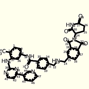 Cc1ccc(NC(=O)c2ccc(CNCc3ccc4c(c3)C(=O)N(C3CCC(=O)NC3=O)C4=O)cc2)cc1Nc1nccc(-c2cccnc2)n1